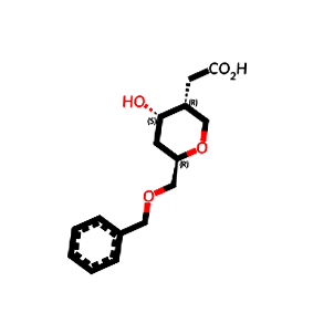 O=C(O)C[C@@H]1CO[C@@H](COCc2ccccc2)C[C@@H]1O